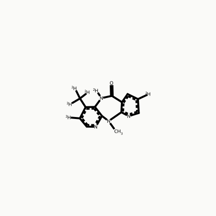 [2H]c1cnc2c(c1)C(=O)N([2H])c1c(ncc([2H])c1C([2H])([2H])[2H])N2C